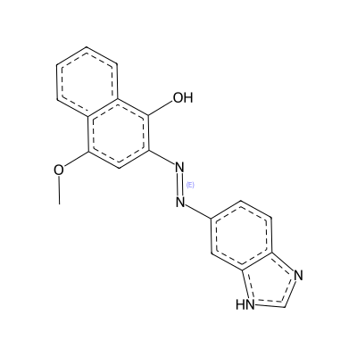 COc1cc(/N=N/c2ccc3nc[nH]c3c2)c(O)c2ccccc12